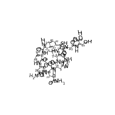 CC(C)CC(NC(=O)C(Cc1c[nH]cn1)NC(=O)C(CCC(N)=O)NC(=O)C(CC(N)=O)NC(=O)C(NC(=O)C(N)Cc1ccccc1)C(C)C)C(=O)NC(CS)C(=O)NCC(=O)NC(CO)C(=O)O